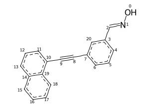 O/N=C/c1cccc(C#Cc2cccc3ccccc23)c1